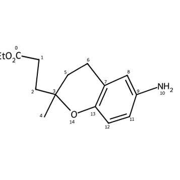 CCOC(=O)CCC1(C)CCc2cc(N)ccc2O1